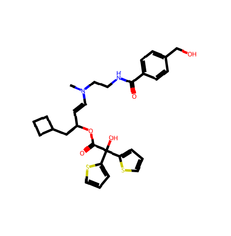 CN(/C=C/C(CC1CCC1)OC(=O)C(O)(c1cccs1)c1cccs1)CCNC(=O)c1ccc(CO)cc1